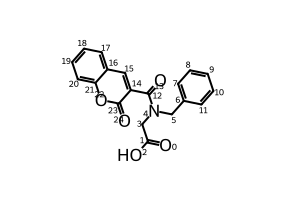 O=C(O)CN(Cc1ccccc1)C(=O)c1cc2ccccc2oc1=O